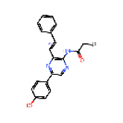 CC(C)CC(=O)Nc1ncc(-c2ccc(O)cc2)nc1/C=C/c1ccccc1